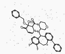 O=C1C2N(C=CC(=O)C2(O)OCc2ccccc2)N(C2c3ccc(F)c(F)c3CSc3c(-c4ccccc4)cccc32)C2COCCN12